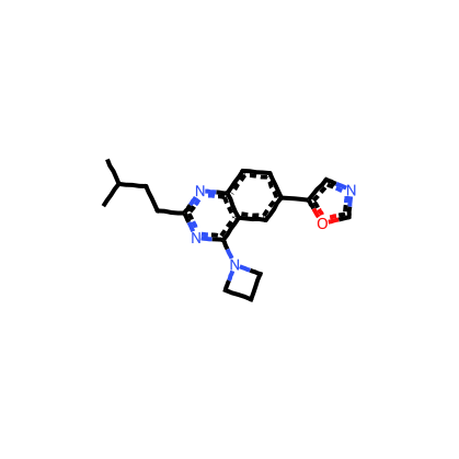 CC(C)CCc1nc(N2CCC2)c2cc(-c3cnco3)ccc2n1